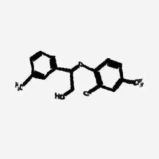 OCC(Oc1ccc(C(F)(F)F)cc1Cl)c1cccc(C(F)(F)F)c1